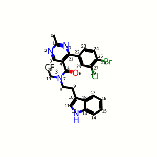 Cc1ncc(C(=O)N(CCc2c[nH]c3ccccc23)CC(F)(F)F)c(-c2ccc(Br)c(Cl)c2)n1